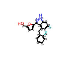 OCc1ccc(-c2n[nH]c3cc(F)cc(Cc4ccccc4F)c23)o1